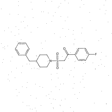 O=C(CS(=O)(=O)N1CCC(Cc2ccccc2)CC1)c1ccc(F)cc1